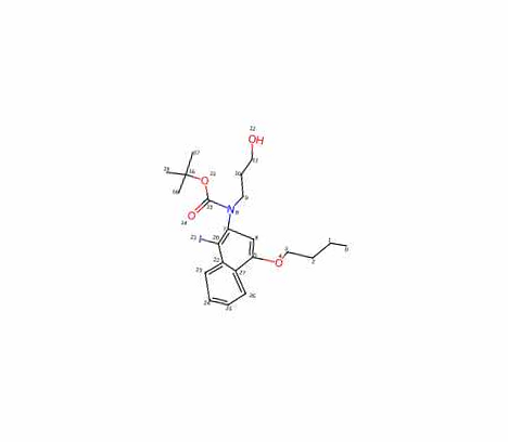 CCCCOc1cc(N(CCCO)C(=O)OC(C)(C)C)c(I)c2ccccc12